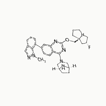 Cn1ncc2cccc(-c3ccc4c(N5C[C@H]6CC[C@@H](C5)N6)nc(OC[C@@]56CCCN5C[C@H](F)C6)nc4c3)c21